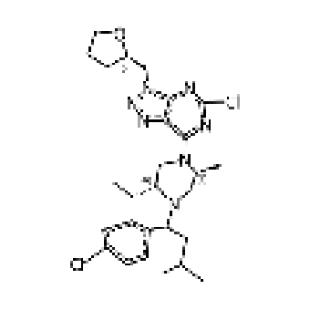 CC[C@@H]1CN(c2nc(Cl)nc3c2nnn3C[C@H]2CCCO2)[C@@H](C)CN1C(CC(C)C)c1ccc(Cl)cc1